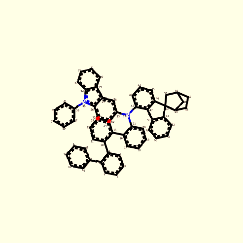 c1ccc(-c2ccccc2-c2ccccc2-c2ccccc2N(c2ccc3c(c2)c2ccccc2n3-c2ccccc2)c2cccc3c2-c2ccccc2C32CC3CCC2C3)cc1